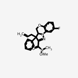 C=CCC1(c2ccccc2)C(C(=O)N(C)OC)=NN2c3cc(F)ccc3OCC21